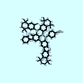 Cc1cc2c(cc1N1c3cc4c(cc3B3c5c(cc6c(oc7ccccc76)c51)-c1cc5c(cc1N3c1ccc(C(C)(C)C)cc1)oc1cc3c(cc15)C(C)(C)CCC3(C)C)C(C)(C)CCC4(C)C)C(C)(C)CCC2(C)C